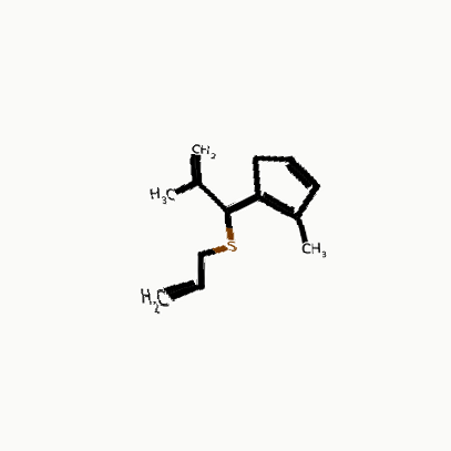 C=CCSC(C(=C)C)C1=C(C)C=CC1